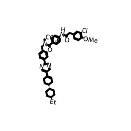 CC[C@H]1CC[C@H](C2CC=C(c3cnc(-c4ccc(CN(CC(=O)O)C(=O)c5ccc(NC(=O)Cc6ccc(OC)c(Cl)c6)cc5)cc4)nc3)CC2)CC1